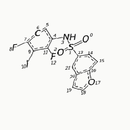 O=S(=O)(Nc1ccc(F)c(I)c1F)c1ccc2occc2c1